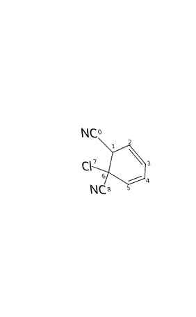 N#CC1C=CC=CC1(Cl)C#N